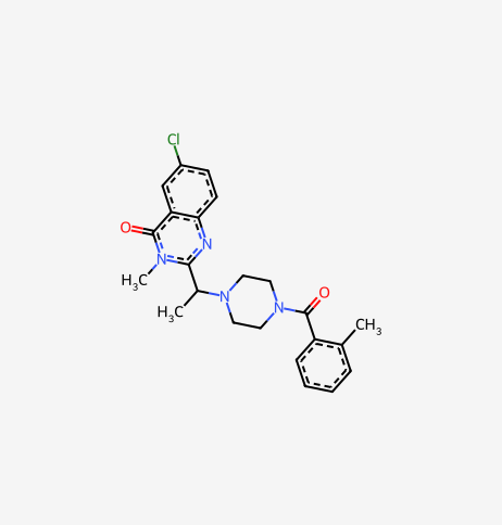 Cc1ccccc1C(=O)N1CCN(C(C)c2nc3ccc(Cl)cc3c(=O)n2C)CC1